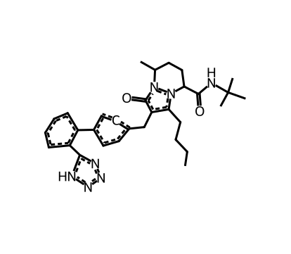 CCCCc1c(Cc2ccc(-c3ccccc3-c3nnn[nH]3)cc2)c(=O)n2n1C(C(=O)NC(C)(C)C)CCC2C